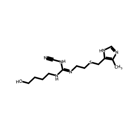 Cc1nc[nH]c1CSCC/N=C(\NC#N)NCCCCO